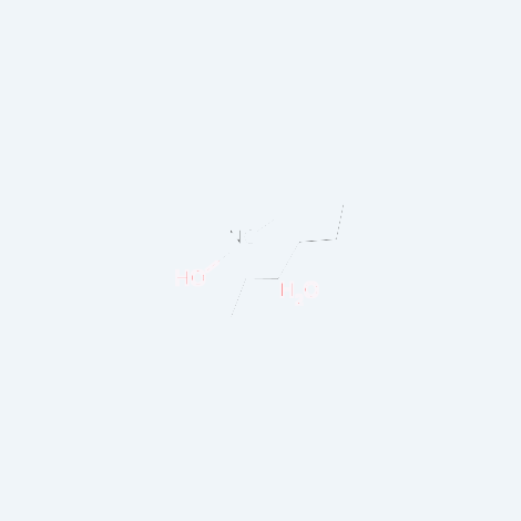 CC#N.CCCCCC.CO.O